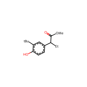 CCC(C(=O)OC)c1ccc(O)c(C(C)(C)C)c1